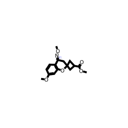 CO/N=C1\CC2(CC(C(=O)OC)C2)Oc2cc(OC)ccc21